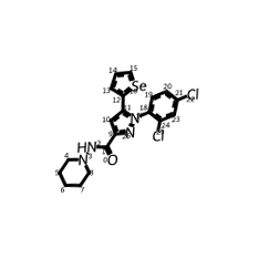 O=C(NN1CCCCC1)c1cc(-c2ccc[se]2)n(-c2ccc(Cl)cc2Cl)n1